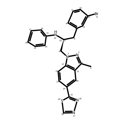 Cc1nn(C[C@H](Cc2cccc(Br)c2)Nc2ccccc2)c2ccc(-c3nncs3)cc12